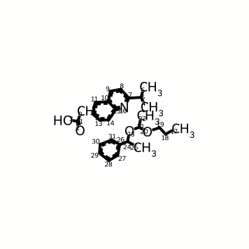 CC(=O)O.CC(C)c1ccc2ccccc2n1.CCCOC(C)OC(C)c1ccccc1